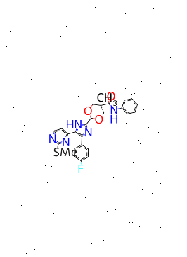 CSc1nccc(-c2[nH]c(C3OCC(C)(C(=O)Nc4ccccc4)CO3)nc2-c2ccc(F)cc2)n1